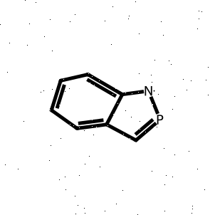 C1=P[N]c2ccccc21